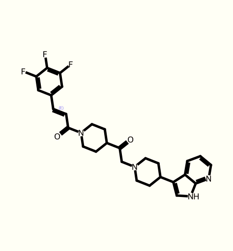 O=C(CN1CCC(c2c[nH]c3ncccc23)CC1)C1CCN(C(=O)/C=C/c2cc(F)c(F)c(F)c2)CC1